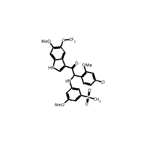 COc1cc(NC(C(=O)c2c[nH]c3cc(OC)c(OC(F)(F)F)cc23)c2ccc(Cl)cc2OC)cc(S(C)(=O)=O)c1